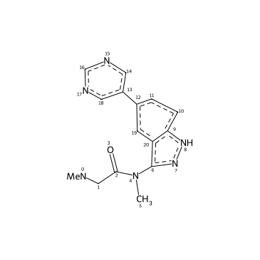 CNCC(=O)N(C)c1n[nH]c2ccc(-c3cncnc3)cc12